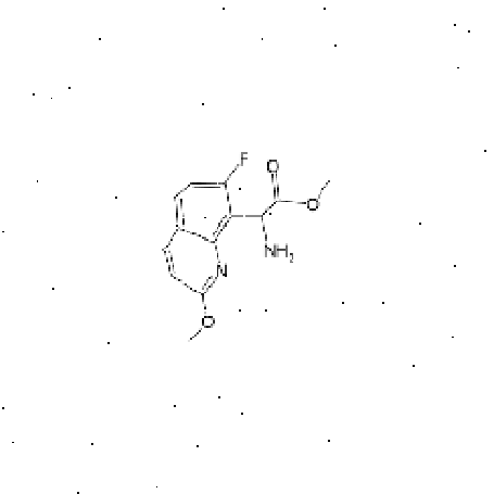 COC(=O)C(N)c1c(F)ccc2ccc(OC)nc12